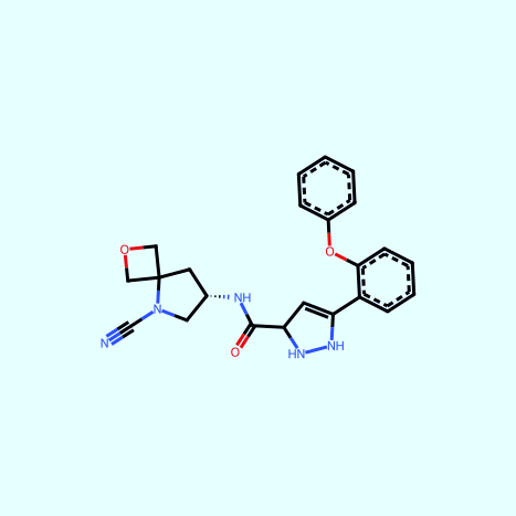 N#CN1C[C@@H](NC(=O)C2C=C(c3ccccc3Oc3ccccc3)NN2)CC12COC2